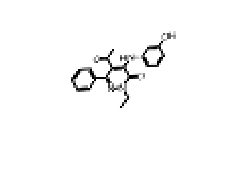 CCn1nc(-c2ccccc2)c(C(C)=O)c(Nc2cccc(O)c2)c1=O